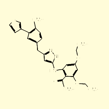 COCOc1cc(Nc2cc(Cc3ccc(OC)c(-c4ccoc4)c3)n[nH]2)c(C(=O)OC)c(OCOC)c1